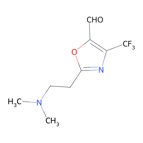 CN(C)CCc1nc(C(F)(F)F)c(C=O)o1